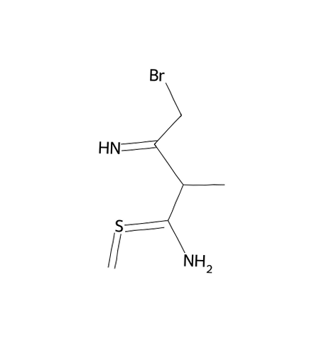 C=S=C(N)C(C)C(=N)CBr